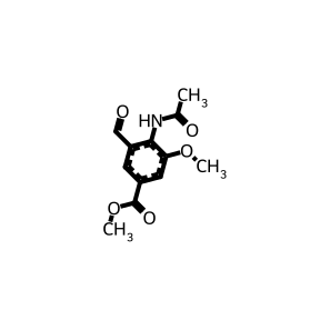 COC(=O)c1cc(C=O)c(NC(C)=O)c(OC)c1